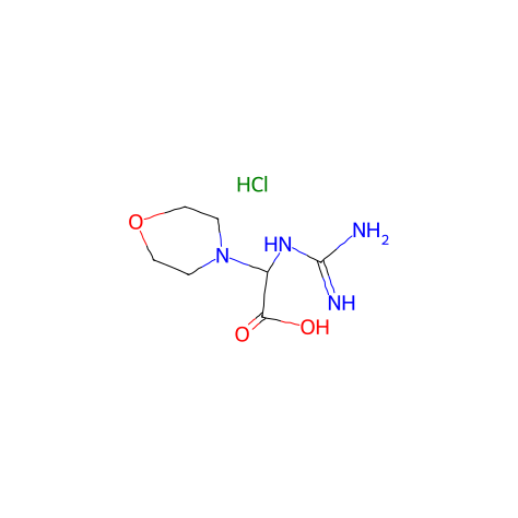 Cl.N=C(N)NC(C(=O)O)N1CCOCC1